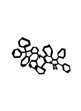 c1ccc(C2=C3c4ccccc4C(N(c4ccccc4)c4cccc5c4-c4ccccc4C5(c4ccccc4)c4ccccc4)=C(c4ccccc4)N3NC2c2ccccc2)cc1